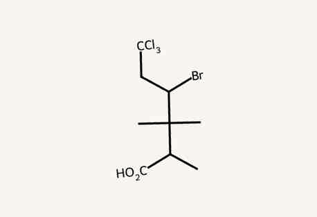 CC(C(=O)O)C(C)(C)C(Br)CC(Cl)(Cl)Cl